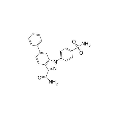 NC(=O)c1nn(-c2ccc(S(N)(=O)=O)cc2)c2cc(-c3ccccc3)ccc12